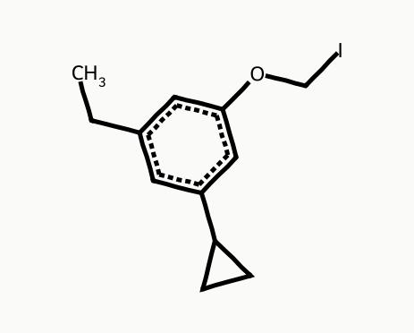 CCc1cc(OCI)cc(C2CC2)c1